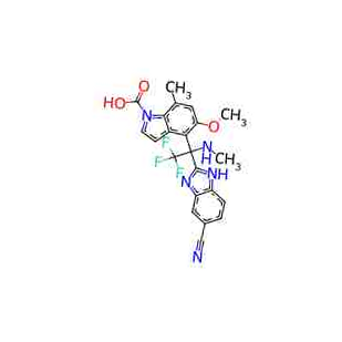 CNC(c1nc2cc(C#N)ccc2[nH]1)(c1c(OC)cc(C)c2c1ccn2C(=O)O)C(F)(F)F